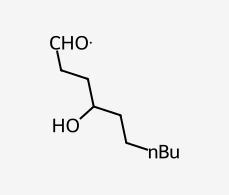 CCCCCCC(O)CC[C]=O